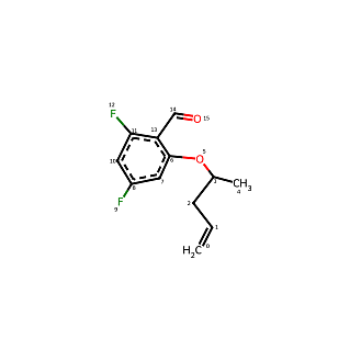 C=CCC(C)Oc1cc(F)cc(F)c1C=O